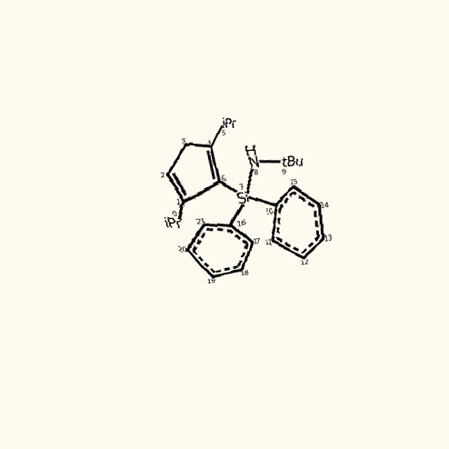 CC(C)C1=CCC(C(C)C)=C1[Si](NC(C)(C)C)(c1ccccc1)c1ccccc1